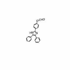 O=COc1ccc(-c2nc(-c3ccccc3)c(-c3ccccc3)[nH]2)cc1